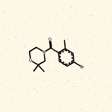 Cc1cc(Br)ccc1C(=O)N1CCOC(C)(C)C1